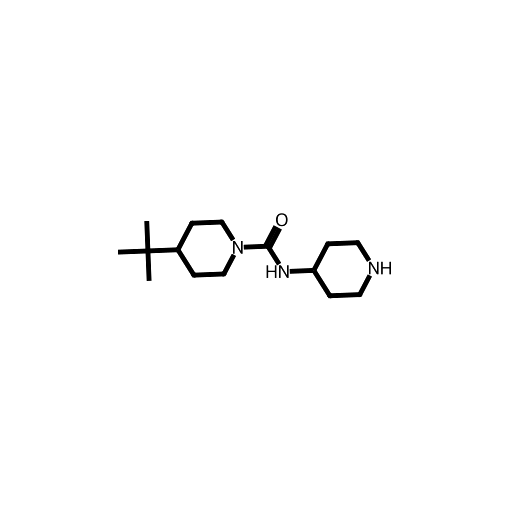 CC(C)(C)C1CCN(C(=O)NC2CCNCC2)CC1